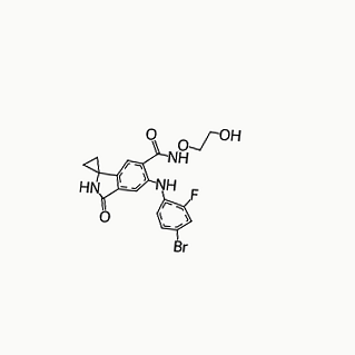 O=C(NOCCO)c1cc2c(cc1Nc1ccc(Br)cc1F)C(=O)NC21CC1